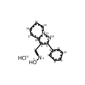 Cl.ON=Cc1c(-c2ccccc2)nn2ccccc12